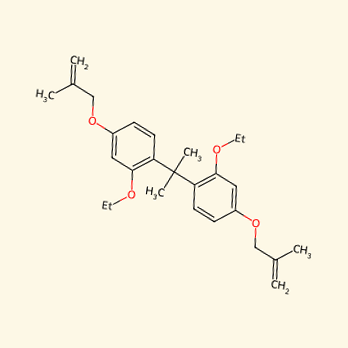 C=C(C)COc1ccc(C(C)(C)c2ccc(OCC(=C)C)cc2OCC)c(OCC)c1